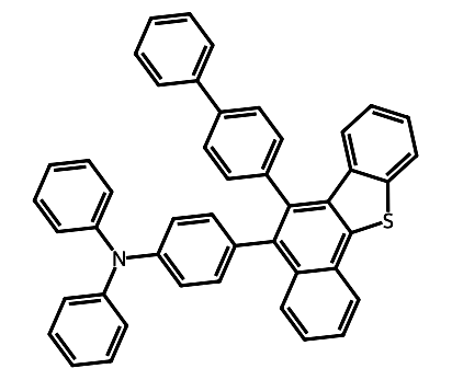 c1ccc(-c2ccc(-c3c(-c4ccc(N(c5ccccc5)c5ccccc5)cc4)c4ccccc4c4sc5ccccc5c34)cc2)cc1